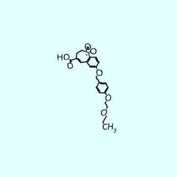 CCCOCCOc1ccc(COc2ccc3c(c2)C=C(C(=O)O)CCS3(=O)=O)cc1